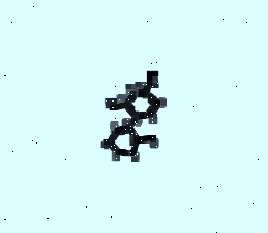 C=C1CCCC=C1c1ccc(F)cc1C